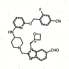 N#Cc1ccc(COc2cccc(NC3CCN(Cc4nc5ccc(C=O)cc5n4C[C@@H]4CCO4)CC3)n2)c(F)c1